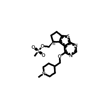 CN1CCC(COc2ncnc3sc4c(c23)[C@@H](COS(C)(=O)=O)CC4)CC1